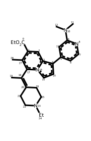 CCOC(=O)c1cc2c(-c3ccnc(N(C)C)c3)ccn2c(C(C)=C2CCN(CC)CC2)c1C